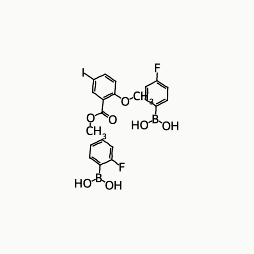 COC(=O)c1cc(I)ccc1OC.OB(O)c1ccc(F)cc1.OB(O)c1ccccc1F